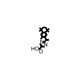 C=C(c1ncc(C(=O)O)cn1)c1cc2c(cc1C)C(C)(C)CCC2(C)C